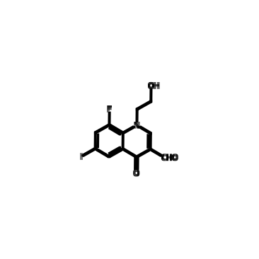 O=Cc1cn(CCO)c2c(F)cc(I)cc2c1=O